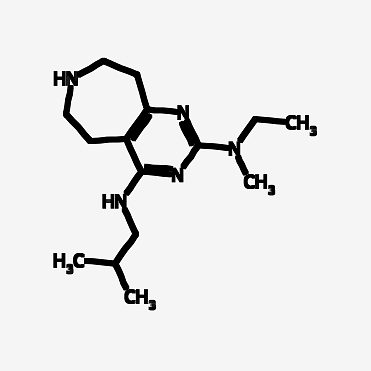 CCN(C)c1nc2c(c(NCC(C)C)n1)CCNCC2